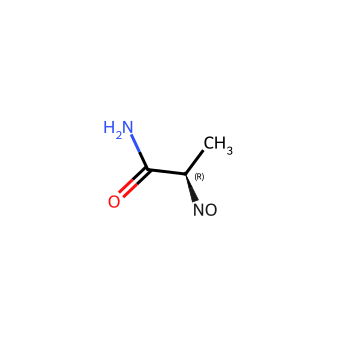 C[C@@H](N=O)C(N)=O